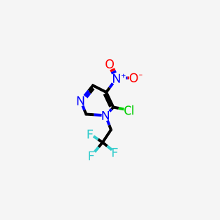 O=[N+]([O-])C1=C(Cl)N(CC(F)(F)F)CN=C1